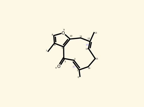 C/C1=C\C(=O)c2c(C)coc2C/C(C)=C/CC1